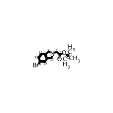 CC(C)(C)OC(=O)CN1Cc2ccc(Br)cc2C1